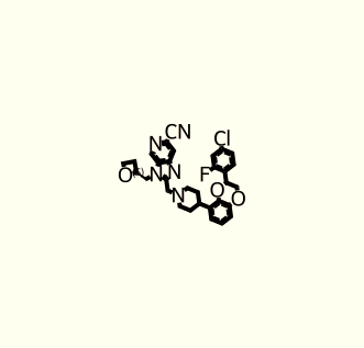 N#Cc1cc2nc(CN3CCC(c4cccc5c4OC(c4ccc(Cl)cc4F)CO5)CC3)n(C[C@@H]3CCO3)c2cn1